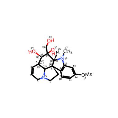 CC[C@]12C=CCN3CC[C@@]4(c5ccc(OC)cc5N(C)[C@H]4C(O)(CO)[C@@H]1O)C32